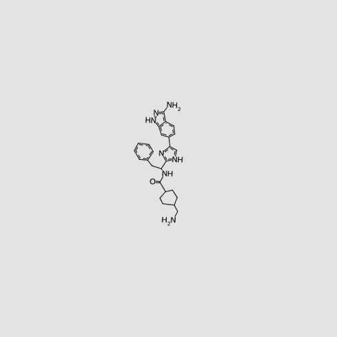 NCC1CCC(C(=O)NC(Cc2ccccc2)c2nc(-c3ccc4c(N)n[nH]c4c3)c[nH]2)CC1